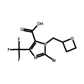 O=C(O)c1c(C(F)(F)F)nc(Br)n1CC1CCO1